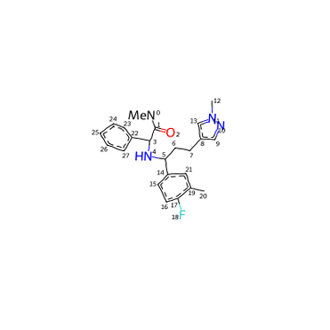 CNC(=O)C(NC(CCc1cnn(C)c1)c1ccc(F)c(C)c1)c1ccccc1